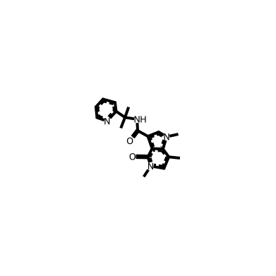 Cc1cn(C)c(=O)c2c(C(=O)NC(C)(C)c3ccccn3)cn(C)c12